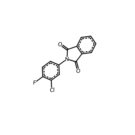 O=C1c2ccccc2C(=O)N1c1ccc(F)c(Cl)c1